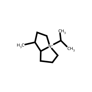 CC1CC[N+]2(C(C)C)CCCC12